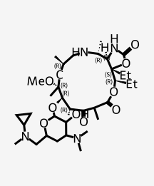 CC[C@H]1OC(=O)C(C)C(=O)[C@H](C)[C@@H](OC2OC(CN(C)C3CC3)CC(N(C)C)C2O)[C@](C)(OC)C[C@@H](C)CN[C@H](C)[C@H]2NC(=O)O[C@@]21CC